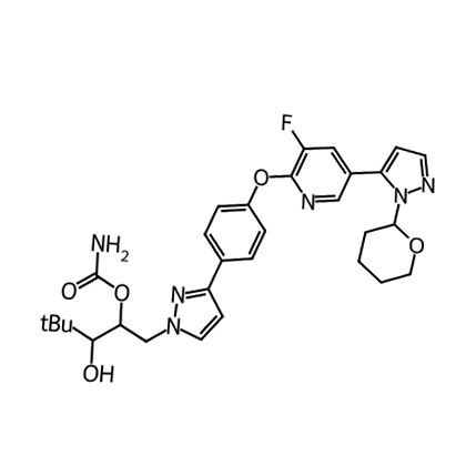 CC(C)(C)C(O)C(Cn1ccc(-c2ccc(Oc3ncc(-c4ccnn4C4CCCCO4)cc3F)cc2)n1)OC(N)=O